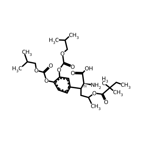 CCC(C)(C)C(=O)OC(C)CC(c1ccc(OC(=O)OCC(C)C)c(OC(=O)OCC(C)C)c1)[C@H](N)C(=O)O